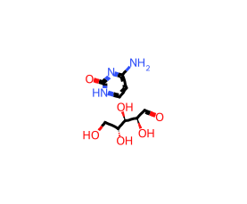 Nc1cc[nH]c(=O)n1.O=C[C@@H](O)[C@H](O)[C@H](O)CO